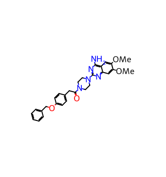 COc1cc2nc(N3CCN(C(=O)Cc4ccc(OCc5ccccc5)cc4)CC3)nc(N)c2cc1OC